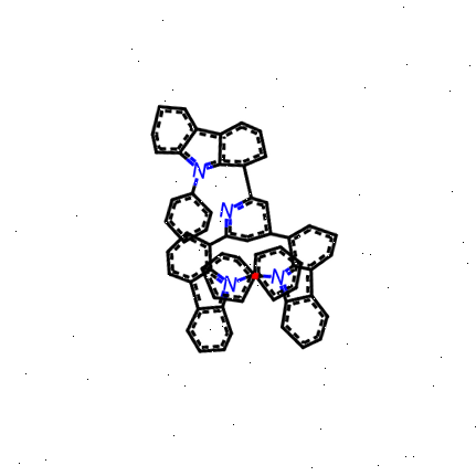 c1ccc(-n2c3ccccc3c3cccc(-c4cc(-c5cccc6c7ccccc7n(-c7ccccc7)c56)nc(-c5cccc6c7ccccc7n(-c7ccccc7)c56)c4)c32)cc1